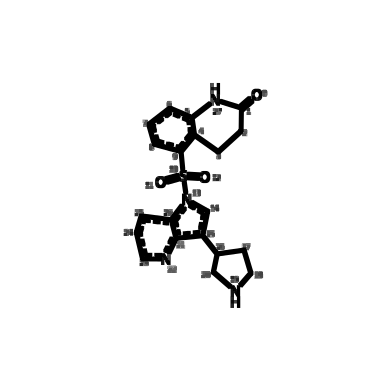 O=C1CCc2c(cccc2S(=O)(=O)n2cc(C3CCNC3)c3ncccc32)N1